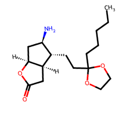 CCCCCC1(CC[C@@H]2[C@H]3CC(=O)O[C@H]3C[C@H]2N)OCCO1